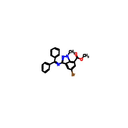 COC(=O)c1cc(Br)cc2c(N=C(c3ccccc3)c3ccccc3)nn(C)c12